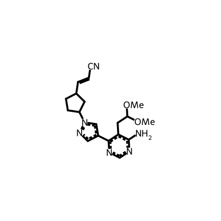 COC(Cc1c(N)ncnc1-c1cnn(C2CCC(C=CC#N)C2)c1)OC